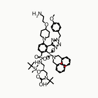 COc1ccc(Cn2nnc(-c3c(N4CCC(OCCN)CC4)ccc(S(=O)(=O)NC[C@@H](CN(C(=O)O)C(C)(C)C)O[Si](C)(C)C(C)(C)C)c3S(=O)(=O)N(Cc3ccccc3)Cc3ccccc3)n2)cc1